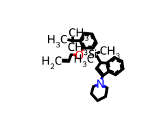 C=CCOc1c(C(C)(C)C)cccc1[Si](C)(C)C1C=C(N2CCCCC2)c2ccccc21